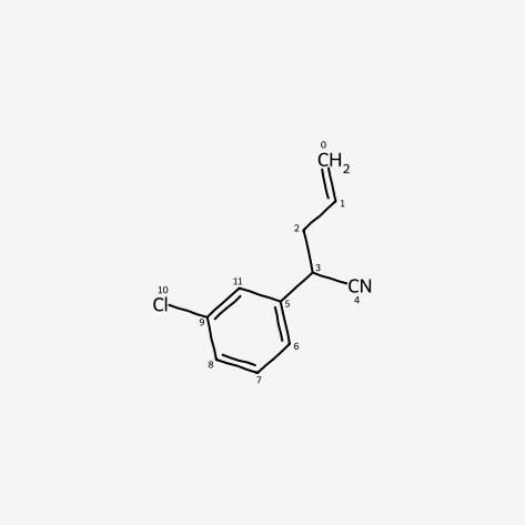 C=CCC(C#N)c1cccc(Cl)c1